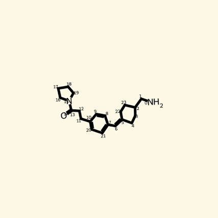 NCC1CCC(=Cc2ccc(CCC(=O)N3CCCC3)cc2)CC1